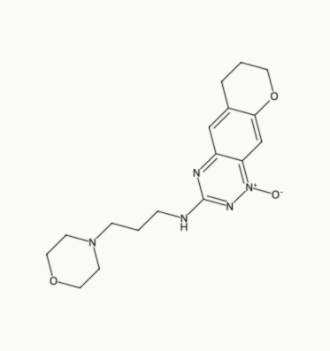 [O-][n+]1nc(NCCCN2CCOCC2)nc2cc3c(cc21)OCCC3